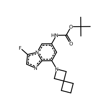 CC(C)(C)OC(=O)Nc1cc(N2CC3(CCC3)C2)c2ncc(F)n2c1